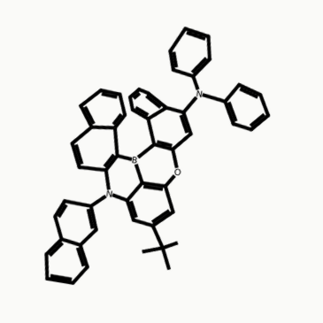 CC(C)(C)c1cc2c3c(c1)N(c1ccc4ccccc4c1)c1ccc4ccccc4c1B3c1c(cc(N(c3ccccc3)c3ccccc3)c3ccccc13)O2